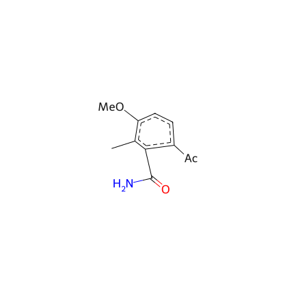 COc1ccc(C(C)=O)c(C(N)=O)c1C